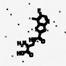 Cc1c(F)cnc2cc(C(=O)NCC(N)C(=O)O)sc12